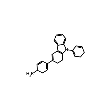 BC1C=CC(C2=Cc3c(n(C4=CCCC=C4)c4ccccc34)CC2)=CC1